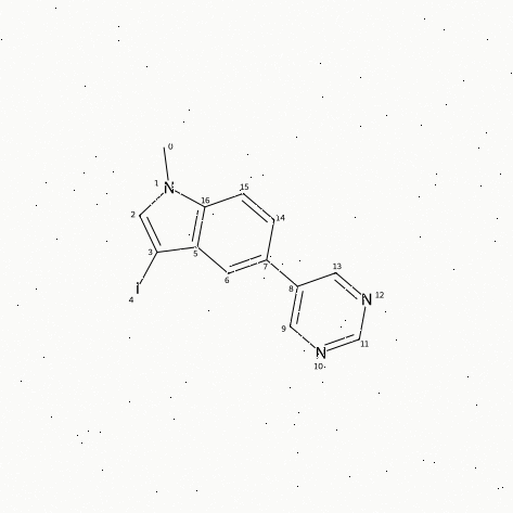 Cn1cc(I)c2cc(-c3cncnc3)ccc21